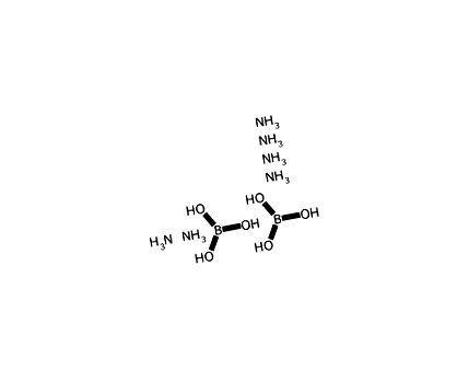 N.N.N.N.N.N.OB(O)O.OB(O)O